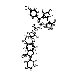 Cc1sc2c(c1C)C(c1ccc(Cl)cc1)=N[C@@H](CC(=O)N1CC3(CCc4cc5c(cc4O3)CN(C3CCCNC3)C5=O)C1)c1nnc(C)n1-2